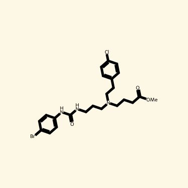 COC(=O)CCCN(CCCNC(=O)Nc1ccc(Br)cc1)CCc1ccc(Cl)cc1